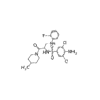 CC1CCN(C(=O)C(CNc2ccc#cc2F)NS(=O)(=O)c2cc(Cl)c(N)c(Cl)c2)CC1